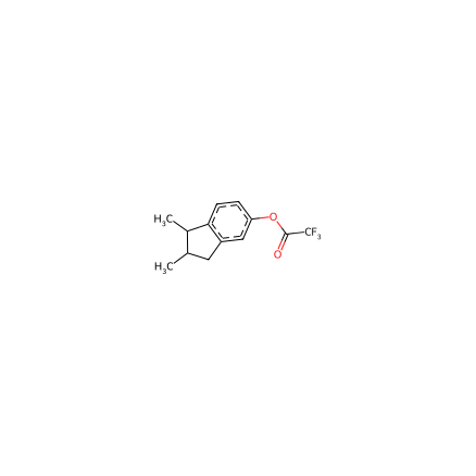 CC1Cc2cc(OC(=O)C(F)(F)F)ccc2C1C